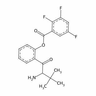 CC(C)(C)C(N)C(=O)c1ccccc1OC(=O)c1cc(F)cc(F)c1F